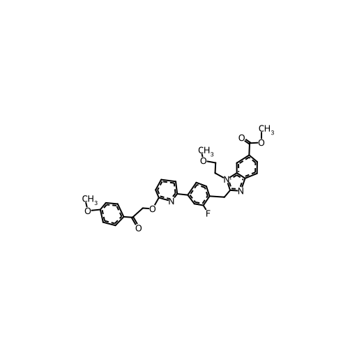 COCCn1c(Cc2ccc(-c3cccc(OCC(=O)c4ccc(OC)cc4)n3)cc2F)nc2ccc(C(=O)OC)cc21